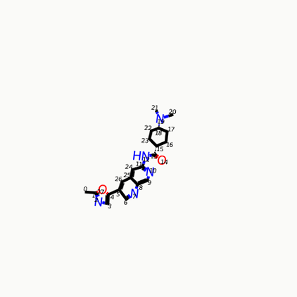 Cc1ncc(-c2cnc3cnc(NC(=O)[C@H]4CC[C@@H](N(C)C)CC4)cc3c2)o1